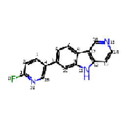 Fc1ccc(-c2ccc3c(c2)[nH]c2ccncc23)cn1